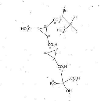 CC(C)(CBr)C(=O)O.CC(O)(C(=O)O)C(F)(F)F.O=C(O)C1C(C(=O)O)C1C(=O)O.O=C(O)C1CC1